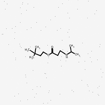 CC(C)NCCC(=O)OCCC(C)(C)C